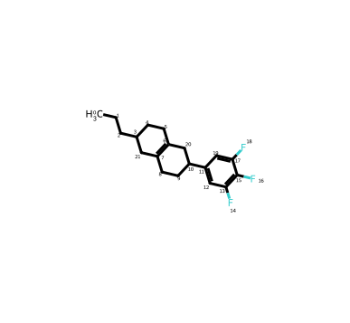 CCCC1CCC2=C(CCC(c3cc(F)c(F)c(F)c3)C2)C1